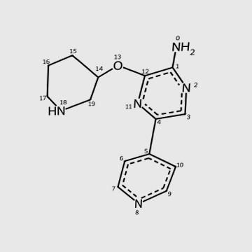 Nc1ncc(-c2ccncc2)nc1OC1CCCNC1